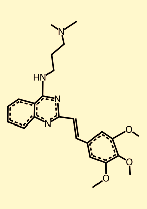 COc1cc(C=Cc2nc(NCCCN(C)C)c3ccccc3n2)cc(OC)c1OC